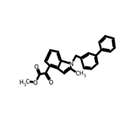 COC(=O)C(=O)c1cccc2c1cc(C)n2Cc1cccc(-c2ccccc2)c1